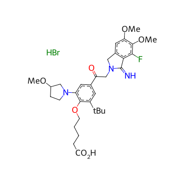 Br.COc1cc2c(c(F)c1OC)C(=N)N(CC(=O)c1cc(N3CCC(OC)C3)c(OCCCCC(=O)O)c(C(C)(C)C)c1)C2